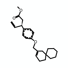 C=C[C@@H](CC(=O)OC)c1ccc(OCC2=CCCC3(CCCCC3)C2)cc1